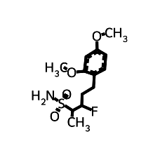 COc1ccc(CCC(F)C(C)S(N)(=O)=O)c(OC)c1